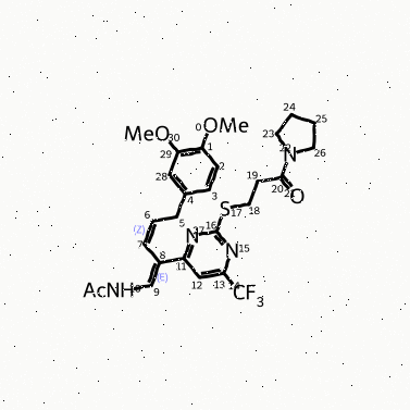 COc1ccc(C/C=C\C(=C/NC(C)=O)c2cc(C(F)(F)F)nc(SCCC(=O)N3CCCC3)n2)cc1OC